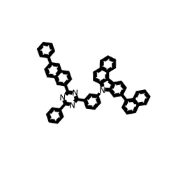 c1ccc(-c2ccc3cc(-c4nc(-c5ccccc5)nc(-c5cccc(-n6c7cc(-c8cccc9ccccc89)ccc7c7c8ccccc8ccc76)c5)n4)ccc3c2)cc1